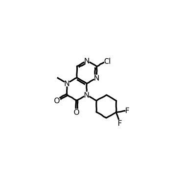 Cn1c(=O)c(=O)n(C2CCC(F)(F)CC2)c2nc(Cl)ncc21